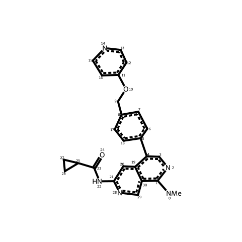 CNc1ncc(-c2ccc(COc3ccncc3)cc2)c2cc(NC(=O)C3CC3)ncc12